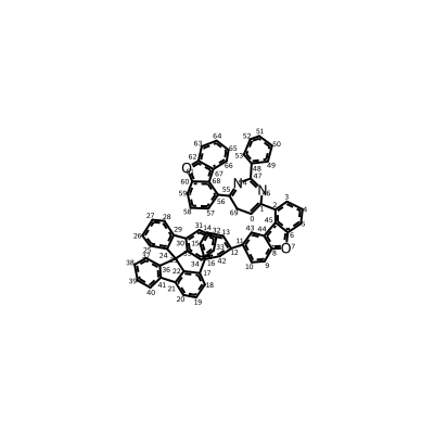 C1=C(c2cccc3oc4ccc(-c5cccc(-c6cccc7c6C6(c8ccccc8-c8ccccc86)c6ccccc6-7)c5)cc4c23)N=C(c2ccccc2)N=C(c2cccc3oc4ccccc4c23)C1